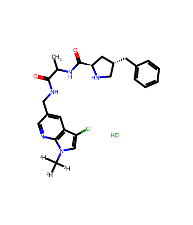 Cl.[2H]C([2H])([2H])n1cc(Cl)c2cc(CNC(=O)C(C)NC(=O)[C@H]3C[C@H](Cc4ccccc4)CN3)cnc21